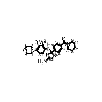 COc1cc(N2CCOCC2)ccc1NC1(c2ccc(C(=O)N3CCCCC3)cc2)N=NC(N)=N1